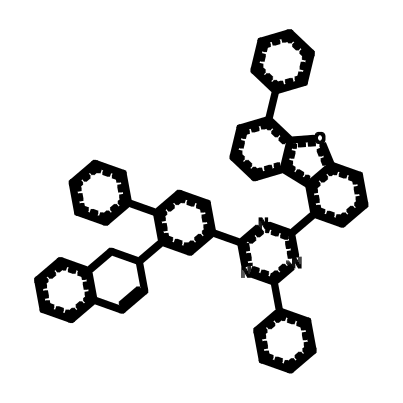 C1=CC(c2cc(-c3nc(-c4ccccc4)nc(-c4cccc5oc6c(-c7ccccc7)cccc6c45)n3)ccc2-c2ccccc2)Cc2ccccc21